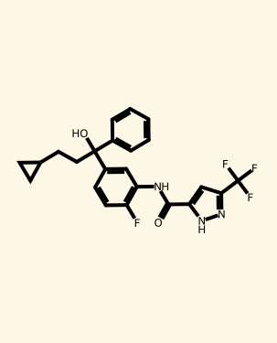 O=C(Nc1cc(C(O)(CCC2CC2)c2ccccc2)ccc1F)c1cc(C(F)(F)F)n[nH]1